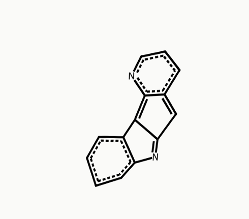 C1=c2cccnc2=C2C1=Nc1ccccc12